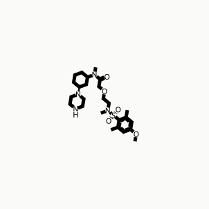 COc1cc(C)c(S(=O)(=O)N(C)CCOCC(=O)N(C)C2CCC[C@H](N3CCNCC3)C2)c(C)c1